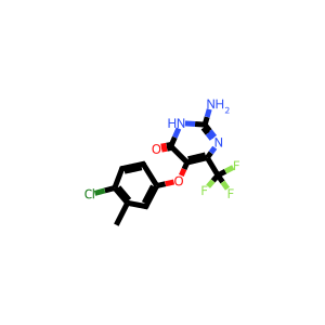 Cc1cc(Oc2c(C(F)(F)F)nc(N)[nH]c2=O)ccc1Cl